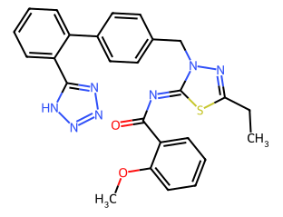 CCc1nn(Cc2ccc(-c3ccccc3-c3nnn[nH]3)cc2)c(=NC(=O)c2ccccc2OC)s1